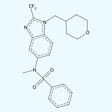 CN(c1ccc2c(c1)nc(C(F)(F)F)n2CC1CCOCC1)S(=O)(=O)c1ccccc1